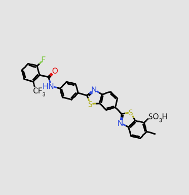 Cc1ccc2nc(-c3ccc4nc(-c5ccc(NC(=O)c6c(F)cccc6C(F)(F)F)cc5)sc4c3)sc2c1S(=O)(=O)O